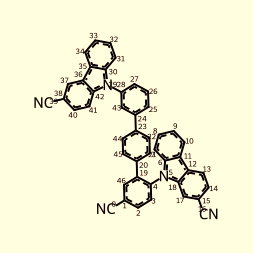 N#Cc1ccc(-n2c3ccccc3c3ccc(C#N)cc32)c(-c2ccc(-c3cccc(-n4c5ccccc5c5cc(C#N)ccc54)c3)cc2)c1